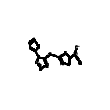 O=[N+]([O-])c1cnc(Sc2nnnn2-c2cccs2)s1